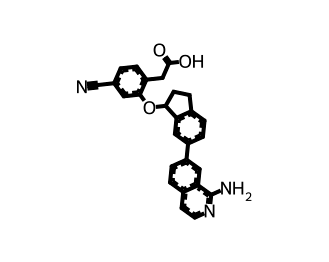 N#Cc1ccc(CC(=O)O)c(OC2CCc3ccc(-c4ccc5ccnc(N)c5c4)cc32)c1